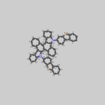 c1ccc2c(c1)sc1cc(-n3c4ccccc4c4c5c6ccccc6c6c7ccccc7n(-c7ccc8c(c7)sc7ccccc78)c6c5c5ccccc5c43)ccc12